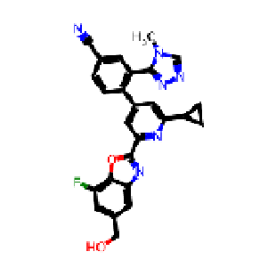 Cn1cnnc1-c1cc(C#N)ccc1-c1cc(-c2nc3cc(CO)cc(F)c3o2)nc(C2CC2)c1